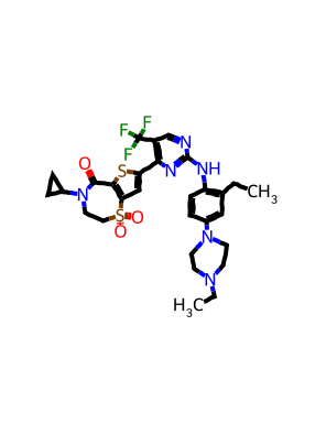 CCc1cc(N2CCN(CC)CC2)ccc1Nc1ncc(C(F)(F)F)c(-c2cc3c(s2)C(=O)N(C2CC2)CCS3(=O)=O)n1